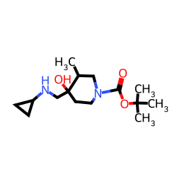 CC1CN(C(=O)OC(C)(C)C)CCC1(O)CNC1CC1